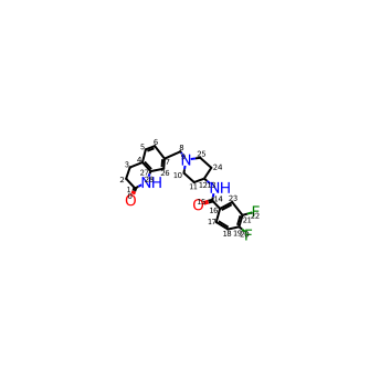 O=C1CCc2ccc(CN3CCC(NC(=O)c4ccc(F)c(F)c4)CC3)cc2N1